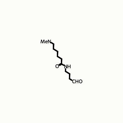 CNCCCCCC(=O)NCCCC=O